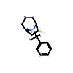 CC(C)(c1ccccc1)N1C2CCCC1C(F)C2